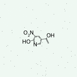 C=C(O)c1cnc(O)c([N+](=O)[O-])c1